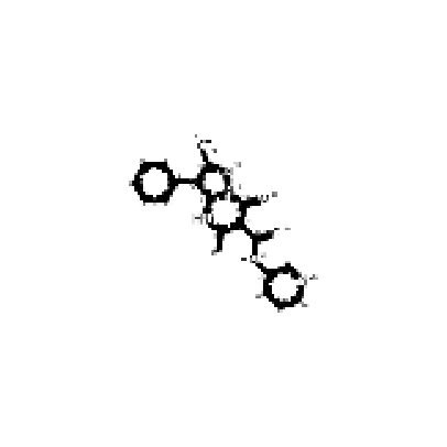 Cc1[nH]c2c(-c3ccccc3)c(C(F)(F)F)nn2c(=O)c1C(=O)Nc1cccnc1